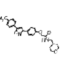 Cc1ccc(-c2cc(-c3ccc(OCC(=O)NCC4CCOCC4)cc3)no2)cc1